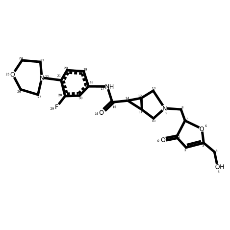 O=C1C=C(CO)OC1CN1CC2C(C1)C2C(=O)Nc1ccc(N2CCOCC2)c(F)c1